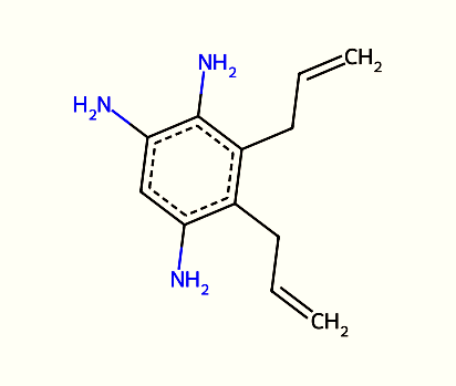 C=CCc1c(N)cc(N)c(N)c1CC=C